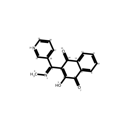 CN=C(C1=C(O)C(=O)c2ccccc2C1=O)c1cccnc1